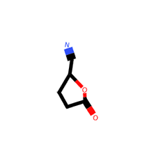 N#CC1[CH]CC(=O)O1